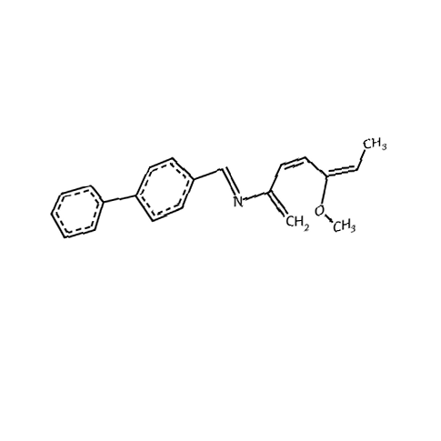 C=C(/C=C\C(=C/C)OC)/N=C/c1ccc(-c2ccccc2)cc1